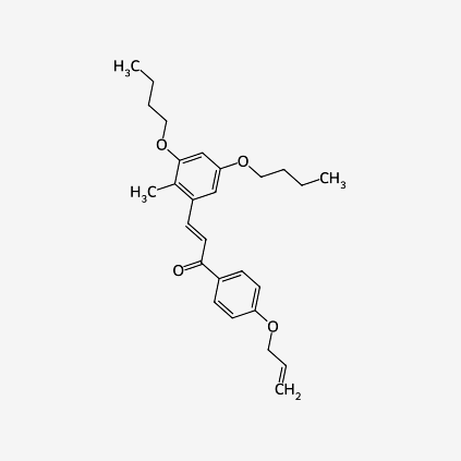 C=CCOc1ccc(C(=O)C=Cc2cc(OCCCC)cc(OCCCC)c2C)cc1